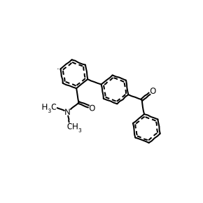 CN(C)C(=O)c1c[c]ccc1-c1ccc(C(=O)c2ccccc2)cc1